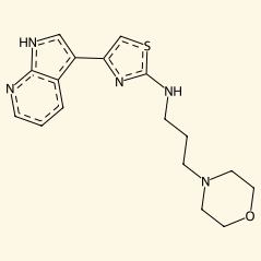 c1cnc2[nH]cc(-c3csc(NCCCN4CCOCC4)n3)c2c1